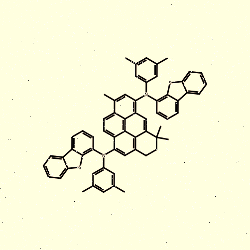 Cc1cc(C)cc(N(c2cc(C)c3ccc4c(N(c5cc(C)cc(C)c5)c5cccc6c5sc5ccccc56)cc5c6c(cc2c3c46)C(C)(C)CC5)c2cccc3c2sc2ccccc23)c1